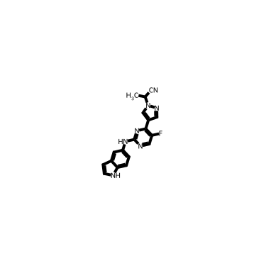 CC(C#N)n1cc(-c2nc(Nc3ccc4[nH]ccc4c3)ncc2F)cn1